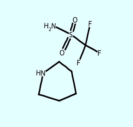 C1CCNCC1.NS(=O)(=O)C(F)(F)F